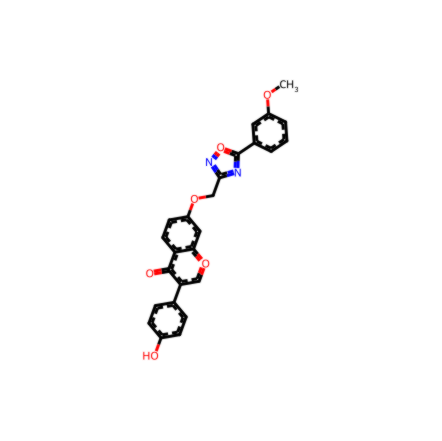 COc1cccc(-c2nc(COc3ccc4c(=O)c(-c5ccc(O)cc5)coc4c3)no2)c1